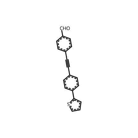 O=Cc1ccc(C#Cc2ccc(-c3cccs3)cc2)cc1